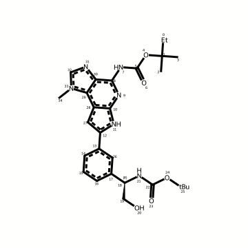 CCC(C)(C)OC(=O)Nc1nc2[nH]c(-c3cccc([C@H](CO)NC(=O)OC(C)(C)C)c3)cc2c2c1ncn2C